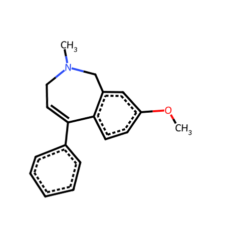 COc1ccc2c(c1)CN(C)CC=C2c1ccccc1